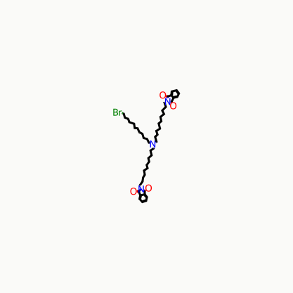 O=C1c2ccccc2C(=O)N1CCCCCCCCCCCCN(CCCCCCCCCCCCBr)CCCCCCCCCCCCN1C(=O)c2ccccc2C1=O